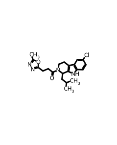 Cc1nnc(CCC(=O)N2CCc3c([nH]c4ccc(Cl)cc34)C2CC(C)C)o1